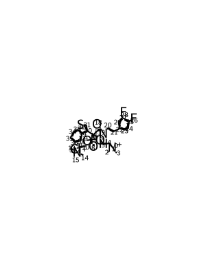 C[N+](C)(C)CCOP(=O)(OCC[N+](C)(C)C)C(C(=O)NC=Cc1ccc(F)c(F)c1)c1csc2ccc(Cl)cc12